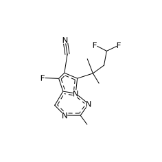 Cc1ncc2c(F)c(C#N)c(C(C)(C)CC(F)F)n2n1